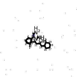 N/C=C1/c2cccc(F)c2C(CC(O)CC2CCCCC2)N1N